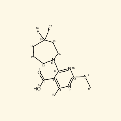 CSc1nc(C)c(C(=O)O)c(N2CCCC(F)(F)CC2)n1